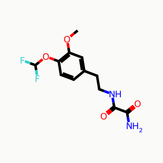 COc1cc(CCNC(=O)C(N)=O)ccc1OC(F)F